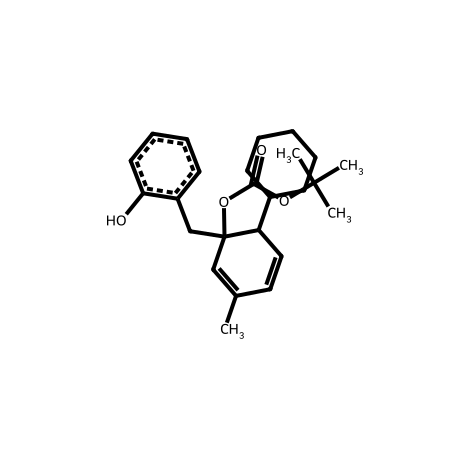 CC1=CC(Cc2ccccc2O)(OC(=O)OC(C)(C)C)C(C2CCCCC2)C=C1